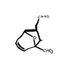 O=CC1CC2(C=O)C=CC1O2